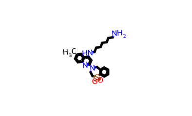 Cc1ccc2nc(N3CCS(=O)(=O)c4ccccc4C3)cc(NCCCCCCCN)c2c1